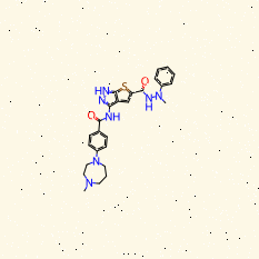 CN1CCCN(c2ccc(C(=O)Nc3n[nH]c4sc(C(=O)NN(C)c5ccccc5)cc34)cc2)CC1